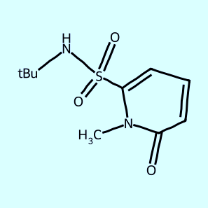 Cn1c(S(=O)(=O)NC(C)(C)C)cccc1=O